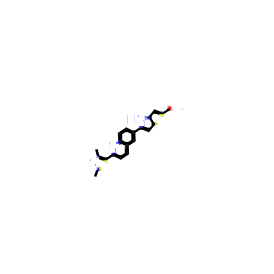 COC(=O)C1=CC2NC(c3ccc4nc(-c5sc(C)nc5C)ccc4c3)=CC2S1